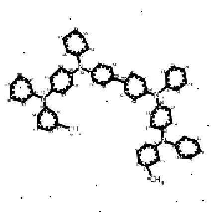 Cc1cccc(N(c2ccccc2)c2ccc(N(c3ccccc3)c3ccc(-c4ccc(N(c5ccccc5)c5ccc(N(c6ccccc6)c6cccc(C)c6)cc5)cc4)cc3)cc2)c1